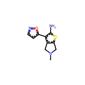 CN1Cc2sc(N)c(-c3ccno3)c2C1